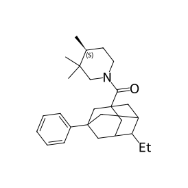 CCC1C2CC3(C(=O)N4CC[C@H](C)C(C)(C)C4)CC1CC(c1ccccc1)(C2)C3